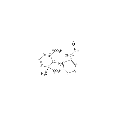 C1=CCCCC1.CC1(C(=O)O)C=CC=C(C(=O)O)C1N.CCOC=O